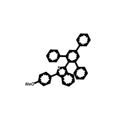 COc1ccc(-c2sc(-c3c(-c4ccccc4)cc(-c4ccccc4)cc3-c3ccccc3)c3ccccc23)cc1